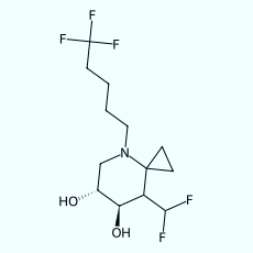 O[C@@H]1CN(CCCCC(F)(F)F)C2(CC2)C(C(F)F)[C@H]1O